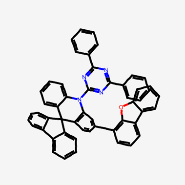 c1ccc(-c2nc(-c3ccccc3)nc(N3c4ccccc4C4(c5ccccc5-c5ccccc54)c4ccc(-c5cccc6c5oc5ccccc56)cc43)n2)cc1